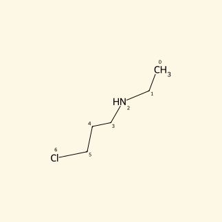 CCNCCCCl